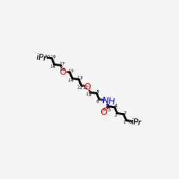 CC(C)CCCCC(=O)NCCCOCCCCOCCCC(C)C